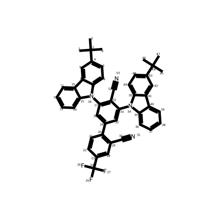 CC(C)(C)c1ccc2c(c1)c1ccccc1n2-c1cc(-c2ccc(C(F)(F)F)cc2C#N)cc(-n2c3ccccc3c3cc(C(C)(C)C)ccc32)c1C#N